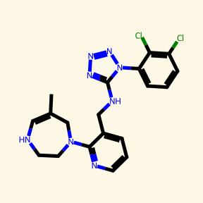 CC1=CNCCN(c2ncccc2CNc2nnnn2-c2cccc(Cl)c2Cl)C1